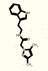 Cc1cc(C)n(CC(=O)NCCc2c[nH]c3ccccc23)n1